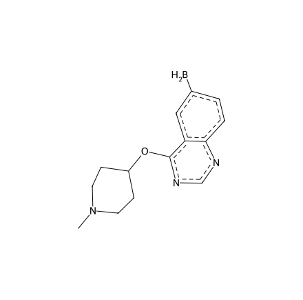 Bc1ccc2ncnc(OC3CCN(C)CC3)c2c1